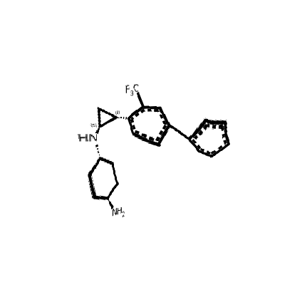 N[C@H]1CC[C@H](N[C@H]2C[C@@H]2c2ccc(-c3ccccc3)cc2C(F)(F)F)CC1